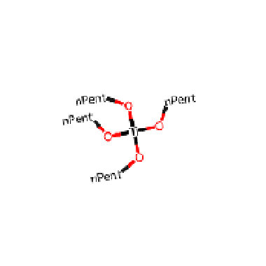 CCCCC[O][Ti]([O]CCCCC)([O]CCCCC)[O]CCCCC